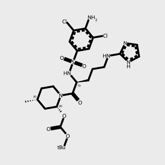 C[C@@H]1CCN(C(=O)[C@H](CCCNc2ncc[nH]2)NS(=O)(=O)c2cc(Cl)c(N)c(Cl)c2)[C@H](OC(=O)OC(C)(C)C)C1